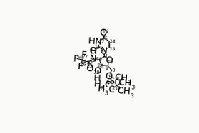 CC(C)(C)[Si](C)(C)OC[C@@H]1O[C@H](n2ccc(=O)[nH]c2=O)C(NC(=O)C(F)(F)F)C1O